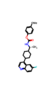 COc1ccc(OC(=O)N[C@H](C)C2CCC(c3ccnc4ccc(F)cc34)CC2)cc1